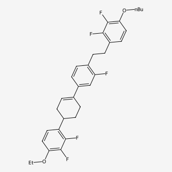 CCCCOc1ccc(CCc2ccc(C3=CCC(c4ccc(OCC)c(F)c4F)CC3)cc2F)c(F)c1F